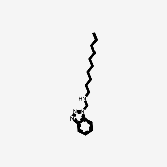 CCCCCCCCCCNCn1nnc2ccccc21